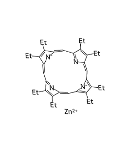 CCC1=C(CC)c2cc3[n-]c(cc4nc(cc5[n-]c(cc1n2)c(CC)c5CC)C(CC)=C4CC)c(CC)c3CC.[Zn+2]